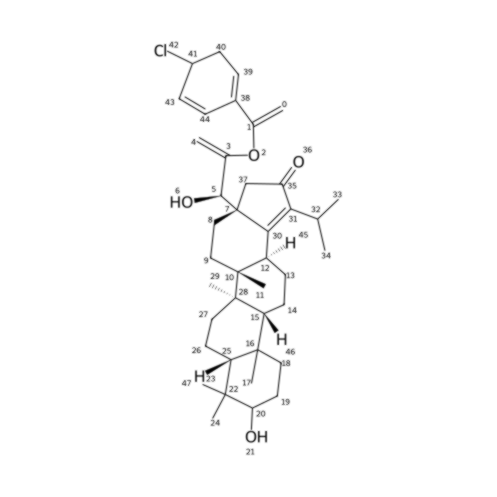 C=C(OC(=C)[C@H](O)[C@@]12CC[C@]3(C)[C@H](CC[C@@H]4C5(C)CCC(O)C(C)(C)[C@@H]5CC[C@]43C)C1=C(C(C)C)C(=O)C2)C1=CCC(Cl)C=C1